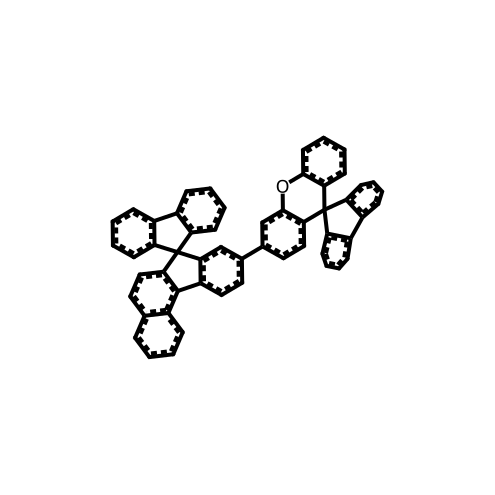 c1ccc2c(c1)Oc1cc(-c3ccc4c(c3)C3(c5ccccc5-c5ccccc53)c3ccc5ccccc5c3-4)ccc1C21c2ccccc2-c2ccccc21